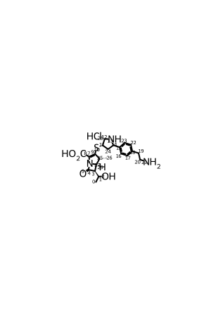 CC(O)[C@H]1C(=O)N2C(C(=O)O)=C(S[C@@H]3CNC(c4ccc(CCN)cc4)C3)[C@H](C)[C@@H]12.Cl